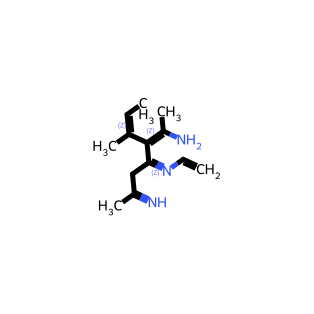 C=C\N=C(CC(C)=N)/C(C(/C)=C\C)=C(/C)N